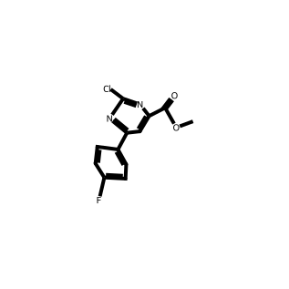 COC(=O)c1cc(-c2ccc(F)cc2)nc(Cl)n1